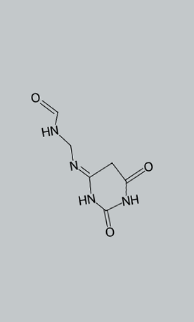 O=CNC/N=C1\CC(=O)NC(=O)N1